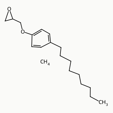 C.CCCCCCCCCc1ccc(OCC2CO2)cc1